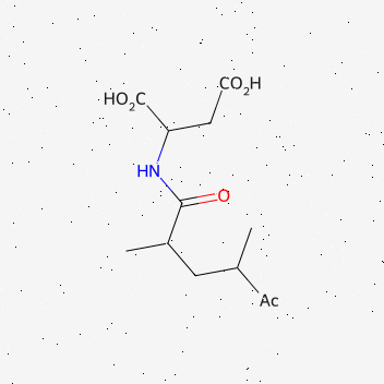 CC(=O)C(C)CC(C)C(=O)NC(CC(=O)O)C(=O)O